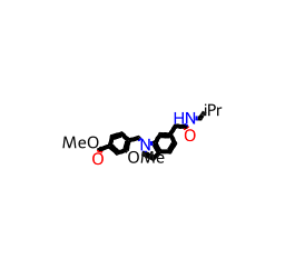 COC(=O)c1ccc(Cn2ccc3ccc(CC(=O)NCC(C)C)cc32)c(OC)c1